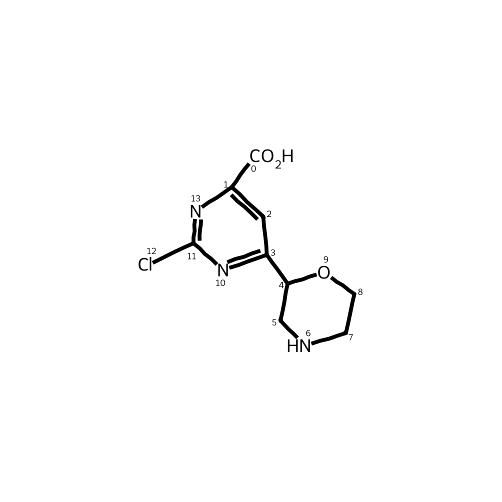 O=C(O)c1cc(C2CNCCO2)nc(Cl)n1